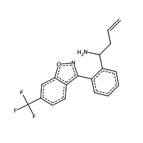 C=CCC(N)c1ccccc1-c1noc2cc(C(F)(F)F)ccc12